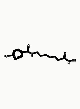 Nc1ccc(C(=O)NCCCCCCC(=O)NO)cc1